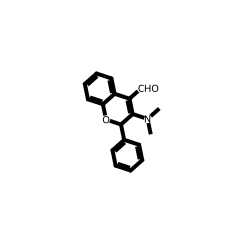 CN(C)C1=C(C=O)c2ccccc2OC1c1ccccc1